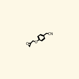 N#CCc1ccc(OCC2CO2)cc1